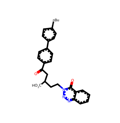 CCCCc1ccc(-c2ccc(C(=O)CC(CCn3nnc4ccccc4c3=O)C(=O)O)cc2)cc1